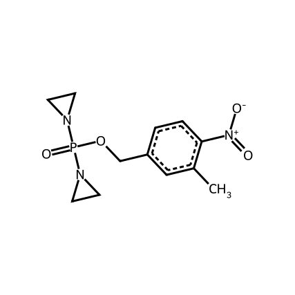 Cc1cc(COP(=O)(N2CC2)N2CC2)ccc1[N+](=O)[O-]